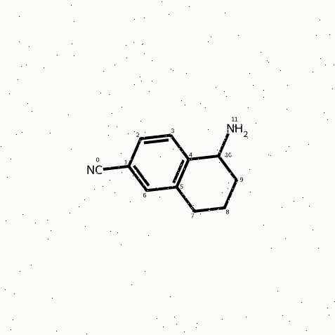 N#Cc1ccc2c(c1)CCCC2N